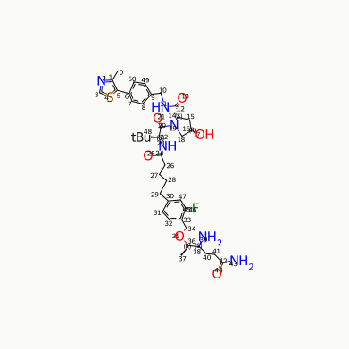 Cc1ncsc1-c1ccc(CNC(=O)[C@@H]2C[C@@H](O)CN2C(=O)[C@@H](NC(=O)CCCCc2ccc(CO[C@H](C)[C@@H](N)CCC(N)=O)c(F)c2)C(C)(C)C)cc1